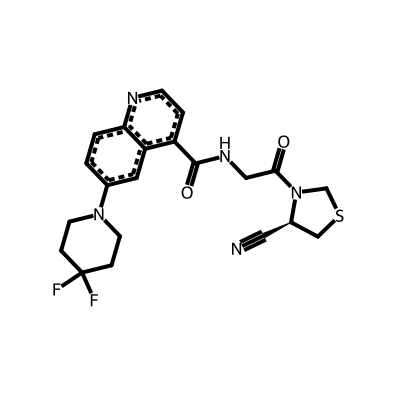 N#C[C@@H]1CSCN1C(=O)CNC(=O)c1ccnc2ccc(N3CCC(F)(F)CC3)cc12